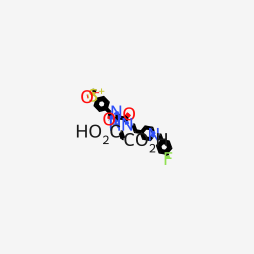 C[S+]([O-])c1ccc(-c2nc(C(=O)NCCC3CCN(Cc4ccc(F)cc4)CC3)no2)cc1.O=C(O)C=CC(=O)O